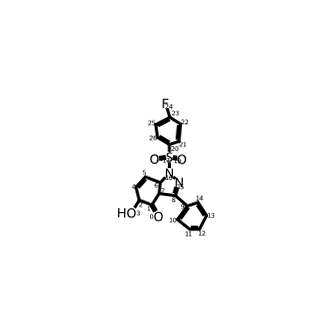 O=C1C(O)C=CC2C1C(c1ccccc1)=NN2S(=O)(=O)c1ccc(F)cc1